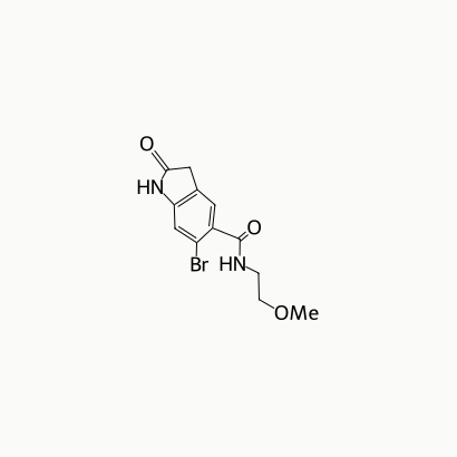 COCCNC(=O)c1cc2c(cc1Br)NC(=O)C2